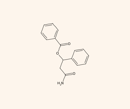 NC(=O)CC(OC(=O)c1ccccc1)c1ccccc1